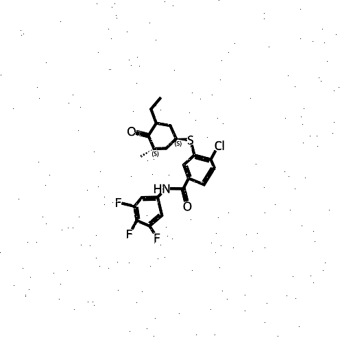 CCC1C[C@@H](Sc2cc(C(=O)Nc3cc(F)c(F)c(F)c3)ccc2Cl)C[C@H](C)C1=O